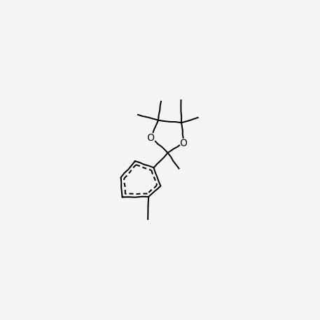 Cc1cccc(C2(C)OC(C)(C)C(C)(C)O2)c1